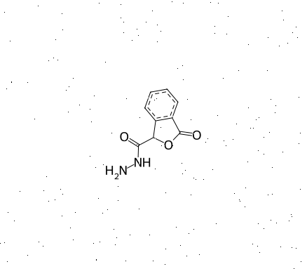 NNC(=O)C1OC(=O)c2ccccc21